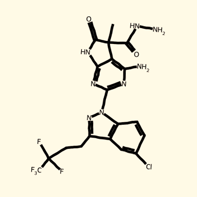 CC1(C(=O)NN)C(=O)Nc2nc(-n3nc(CCC(F)(F)C(F)(F)F)c4cc(Cl)ccc43)nc(N)c21